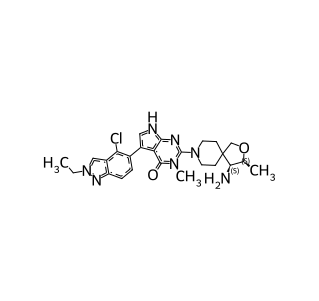 CCn1cc2c(Cl)c(-c3c[nH]c4nc(N5CCC6(CC5)CO[C@@H](C)[C@H]6N)n(C)c(=O)c34)ccc2n1